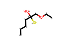 CCCCC(O)(S)COCC